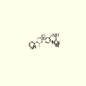 CC1CC(Cl)(c2ccc3c(c2)CNCc2nncn2-3)CCC1c1cccnn1